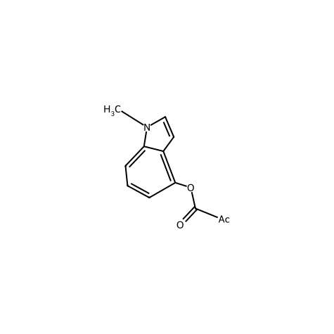 CC(=O)C(=O)Oc1cccc2c1ccn2C